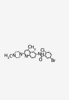 Cc1cc(N2CCN(C)CC2)nc2ccc(NC(=O)c3cc(Br)ccc3Cl)cc12